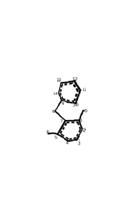 Cc1c[c]cc(C)c1Cc1ccccc1